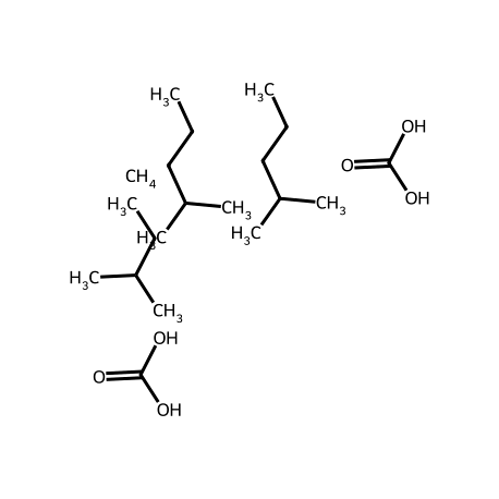 C.CCC(C)C.CCCC(C)C.CCCC(C)C.O=C(O)O.O=C(O)O